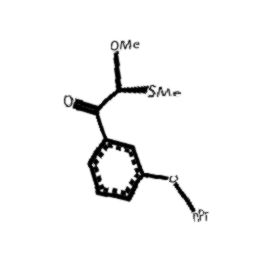 CCCOc1cccc(C(=O)C(OC)SC)c1